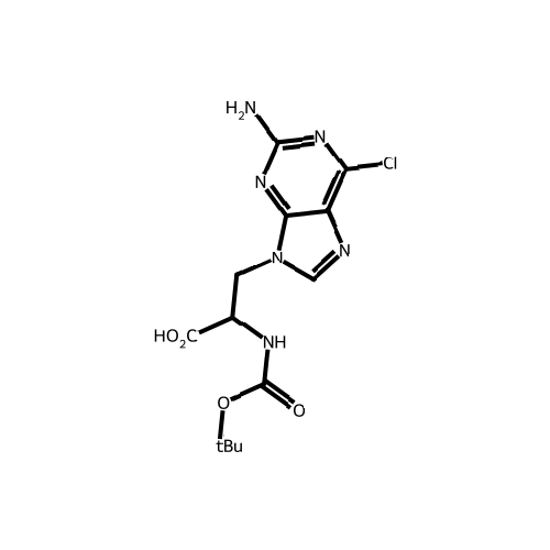 CC(C)(C)OC(=O)NC(Cn1cnc2c(Cl)nc(N)nc21)C(=O)O